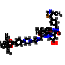 Cc1ncsc1-c1ccc(CNC(=O)C2CC(O)CN2C(=O)[C@@H](NC(=O)CN2CC(N3CCN(c4ccc(B5OC(C)(C)C(C)(C)O5)cc4)CC3)C2)C(C)(C)C)cc1